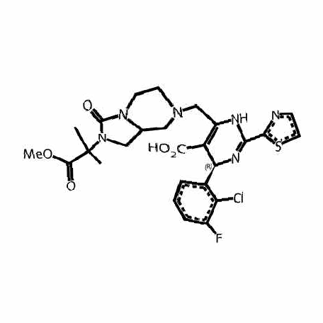 COC(=O)C(C)(C)N1CC2CN(CC3=C(C(=O)O)[C@H](c4cccc(F)c4Cl)N=C(c4nccs4)N3)CCN2C1=O